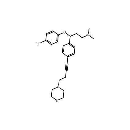 CN(C)CCC(Oc1ccc(C(F)(F)F)cc1)c1ccc(C#CCCN2CCSCC2)cc1